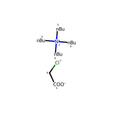 CCCC[N+](CCCC)(CCCC)CCCC.O=C([O-])CCl